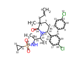 C=CC[C@@]1(C)C[C@H](c2cccc(Cl)c2)[C@@H](c2ccc(Cl)cc2)N(C(CC)[C@H](C)NS(=O)(=O)C2CC2)C1=O